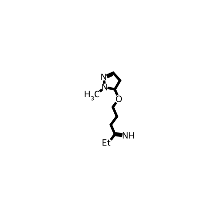 CCC(=N)CCCOC1CC=NN1C